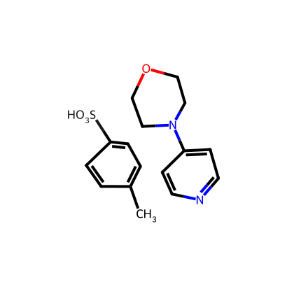 Cc1ccc(S(=O)(=O)O)cc1.c1cc(N2CCOCC2)ccn1